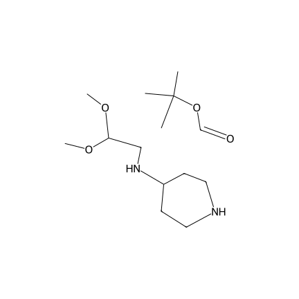 CC(C)(C)OC=O.COC(CNC1CCNCC1)OC